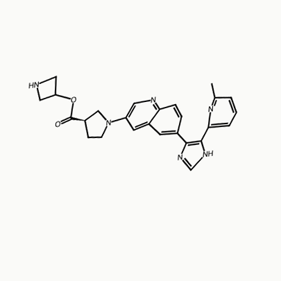 Cc1cccc(-c2[nH]cnc2-c2ccc3ncc(N4CC[C@@H](C(=O)OC5CNC5)C4)cc3c2)n1